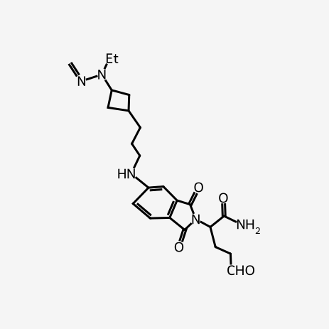 C=NN(CC)C1CC(CCCNc2ccc3c(c2)C(=O)N(C(CCC=O)C(N)=O)C3=O)C1